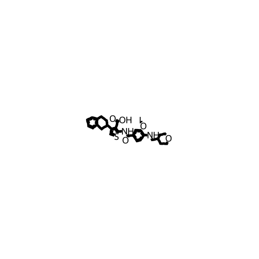 O=C(Nc1scc(C2CCc3ccccc3C2)c1C(=O)O)c1ccc(NCC2CCOCC2)c(OI)c1